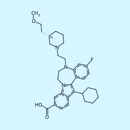 COCC[C@@H]1CCCN(CCN2CCn3c(c(C4CCCCC4)c4ccc(C(=O)O)cc43)-c3ccc(F)cc32)C1